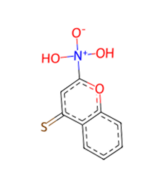 [O-][N+](O)(O)c1cc(=S)c2ccccc2o1